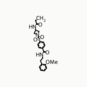 C=CC(=O)NC1CN(S(=O)(=O)c2ccc(C(=O)NCCc3ccccc3OC)cc2)C1